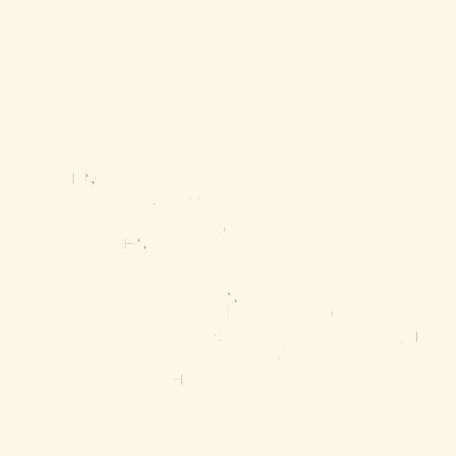 CCOC(=O)CNC(=O)[C@H](CC(C)C)NC(=O)c1cc2ccccc2[nH]1